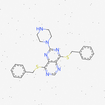 c1ccc(CSc2nc(N3CCNCC3)nc3c(SCc4ccccc4)ncnc23)cc1